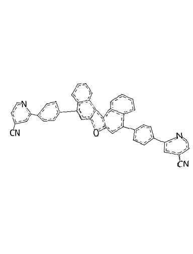 N#Cc1ccnc(-c2ccc(-c3cc4oc5cc(-c6ccc(-c7cc(C#N)ccn7)cc6)c6ccccc6c5c4c4ccccc34)cc2)c1